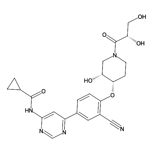 N#Cc1cc(-c2cc(NC(=O)C3CC3)ncn2)ccc1O[C@H]1CCN(C(=O)[C@@H](O)CO)C[C@H]1O